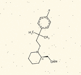 COC[C@H]1CCCCN1CCC(C)(C)c1ccc(F)cc1